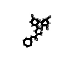 O=C(CC1CCCCCC1)N1CCN(c2ccc(Cl)cc2Cl)C(c2ccc(Cl)cc2)C1